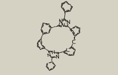 c1ccc(-c2nc3nc(n2)-c2cccc(c2)-c2cccc(c2)-c2nc(-c4ccccc4)nc(n2)-c2cccc(c2)Cc2cccc-3c2)cc1